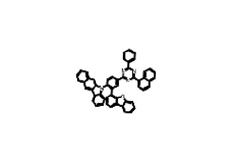 c1ccc(-c2nc(-c3ccc(-n4c5ccccc5c5cc6ccccc6cc54)c(-c4cccc5c4oc4ccccc45)c3)nc(-c3cccc4ccccc34)n2)cc1